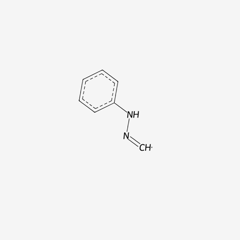 [CH]=NNc1ccccc1